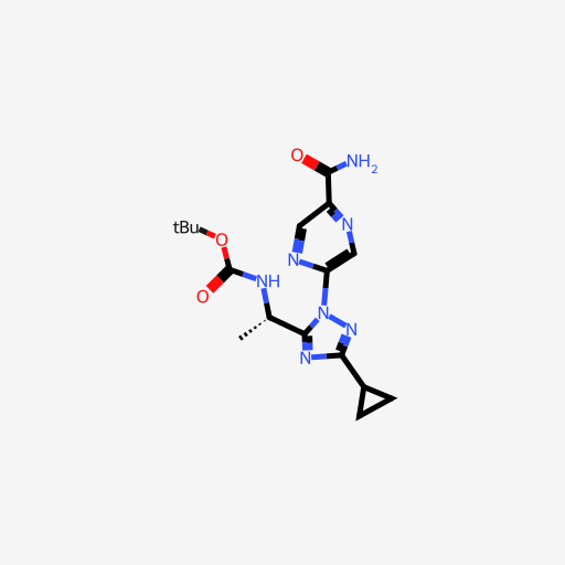 C[C@H](NC(=O)OC(C)(C)C)c1nc(C2CC2)nn1-c1cnc(C(N)=O)cn1